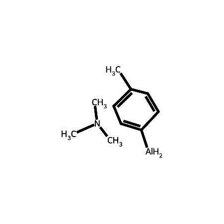 CN(C)C.Cc1cc[c]([AlH2])cc1